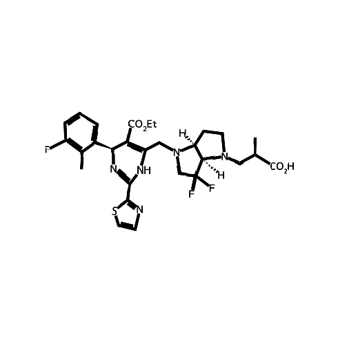 CCOC(=O)C1=C(CN2CC(F)(F)[C@H]3[C@@H]2CCN3CC(C)C(=O)O)NC(c2nccs2)=N[C@H]1c1cccc(F)c1C